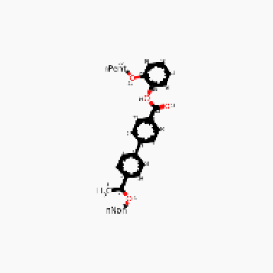 CCCCCCCCCOC(C)c1ccc(-c2ccc(C(=O)Oc3ccccc3OCCCCC)cc2)cc1